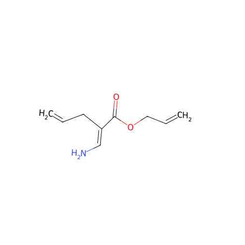 C=CCOC(=O)C(=CN)CC=C